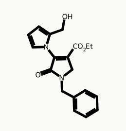 CCOC(=O)C1=C(n2cccc2CO)C(=O)N(Cc2ccccc2)C1